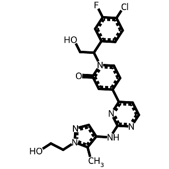 Cc1c(Nc2nccc(-c3ccn(C(CO)c4ccc(Cl)c(F)c4)c(=O)c3)n2)cnn1CCO